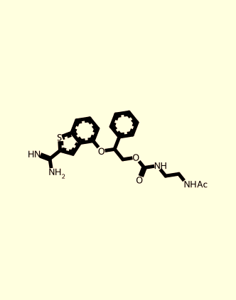 CC(=O)NCCNC(=O)OCC(Oc1cccc2sc(C(=N)N)cc12)c1ccccc1